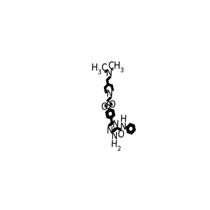 CCN(CC)CCC1CCN(CCS(=O)(=O)c2ccc(-c3cnc(N)c(C(=O)Nc4ccccc4)n3)cc2)CC1